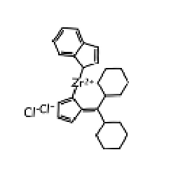 C1=CC(=C(C2CCCCC2)C2CCCCC2)[C]([Zr+2][CH]2C=Cc3ccccc32)=C1.[Cl-].[Cl-]